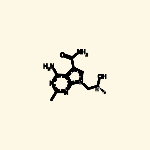 Cc1nc(N)c2c(C(N)=O)cn(C[C@@H](C)O)c2n1